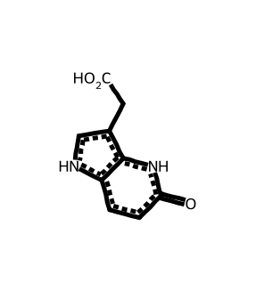 O=C(O)Cc1c[nH]c2ccc(=O)[nH]c12